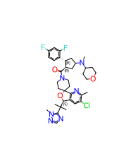 Cc1nc2c(cc1Cl)[C@@H](C(C)(C)c1ncnn1C)OC21CCN(C(=O)[C@@H]2CC(N(C)C3CCOCC3)C[C@H]2c2ccc(F)cc2F)CC1